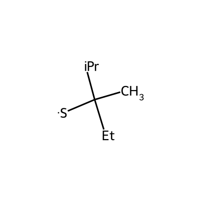 CCC(C)([S])C(C)C